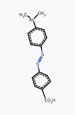 C[As](C)c1ccc(N=Nc2ccc(C(=O)O)cc2)cc1